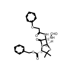 CC1(C)S[C@H]2N(C(=O)[C@@]2(NC=O)NC(=O)COc2ccccc2)[C@H]1C(=O)OCc1ccccc1